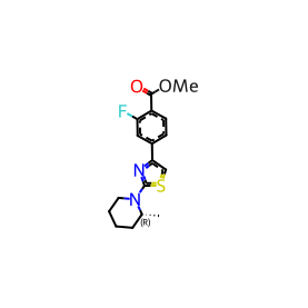 COC(=O)c1ccc(-c2csc(N3CCCC[C@H]3C)n2)cc1F